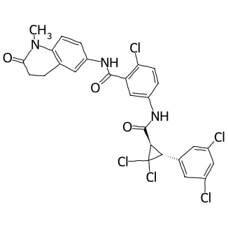 CN1C(=O)CCc2cc(NC(=O)c3cc(NC(=O)[C@H]4[C@H](c5cc(Cl)cc(Cl)c5)C4(Cl)Cl)ccc3Cl)ccc21